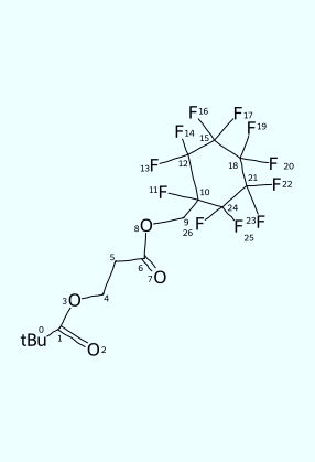 CC(C)(C)C(=O)OCCC(=O)OCC1(F)C(F)(F)C(F)(F)C(F)(F)C(F)(F)C1(F)F